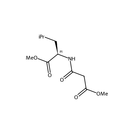 COC(=O)CC(=O)N[C@H](CC(C)C)C(=O)OC